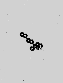 c1ccc2cc(-c3ccc4cc(-c5c6ccccc6nc6c5ccc5cccnc56)ccc4c3)ccc2c1